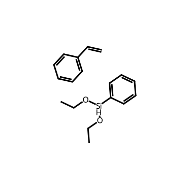 C=Cc1ccccc1.CCO[SiH](OCC)c1ccccc1